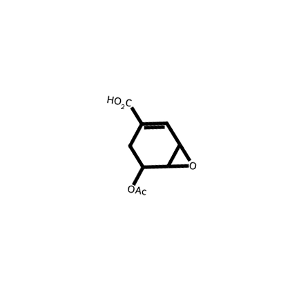 CC(=O)OC1CC(C(=O)O)=CC2OC21